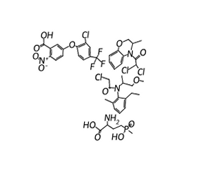 CC1COc2ccccc2N1C(=O)C(Cl)Cl.CCc1cccc(C)c1N(C(=O)CCl)C(C)COC.CP(=O)(O)CCC(N)C(=O)O.O=C(O)c1cc(Oc2ccc(C(F)(F)F)cc2Cl)ccc1[N+](=O)[O-]